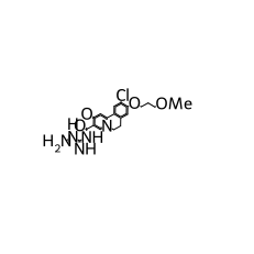 COCCCOc1cc2c(cc1Cl)-c1cc(=O)c(C(=O)NC(=N)NN)cn1CC2